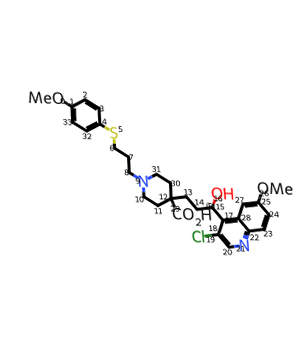 COc1ccc(SCCCN2CCC(CC[C@@H](O)c3c(Cl)cnc4ccc(OC)cc34)(C(=O)O)CC2)cc1